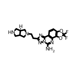 Nc1nc2c3c(ccc2c2nc(CCN4CC5CNC[C@H]5C4)nn12)OC(F)(F)O3